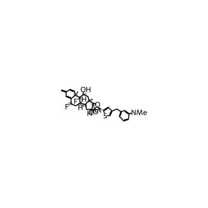 C=C1C=C[C@@]2(C)C(=C1)[C@@H](F)C[C@H]1[C@@H]3C[C@H]4O[C@@H](c5cc(Cc6cccc(NC)c6)cs5)O[C@@]4(C(=O)CC)[C@@]3(C)C[C@H](O)[C@@]12F